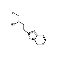 OC(CCl)COc1cc2ccccc2o1